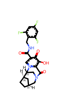 O=C(NCc1c(F)cc(F)cc1F)c1cn2c(c(O)c1=O)C(=O)N1C[C@H]3CC[C@H](C3)[C@H]2C1